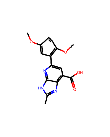 COc1ccc(OC)c(-c2cc(C(=O)O)c3nc(C)[nH]c3n2)c1